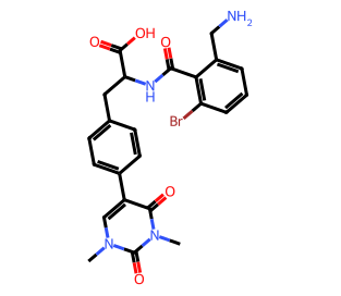 Cn1cc(-c2ccc(CC(NC(=O)c3c(Br)cccc3CN)C(=O)O)cc2)c(=O)n(C)c1=O